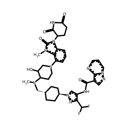 CN(C[C@H]1CC[C@H](n2cc(NC(=O)c3cnn4cccnc34)c(C(F)F)n2)CC1)C1CCN(c2cccc3c2n(C)c(=O)n3C2CCC(=O)NC2=O)CC1O